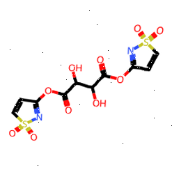 O=C(OC1=NS(=O)(=O)C=C1)C(O)C(O)C(=O)OC1=NS(=O)(=O)C=C1